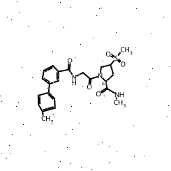 CNC(=O)[C@@H]1CC(S(C)(=O)=O)CN1C(=O)CNC(=O)c1cccc(-c2ccc(C)cc2)c1